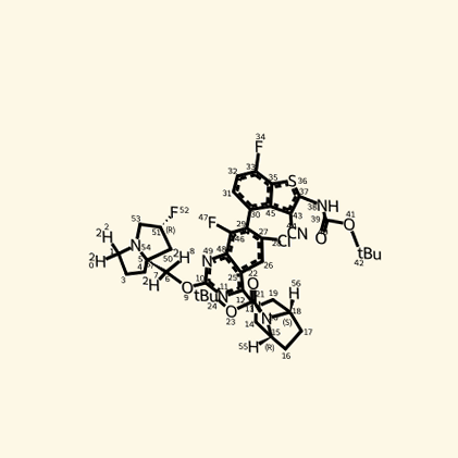 [2H]C1([2H])CC[C@@]2(C([2H])([2H])Oc3nc(N4C[C@H]5CC[C@@H](C4)N5C(=O)OC(C)(C)C)c4cc(Cl)c(-c5ccc(F)c6sc(NC(=O)OC(C)(C)C)c(C#N)c56)c(F)c4n3)C[C@@H](F)CN12